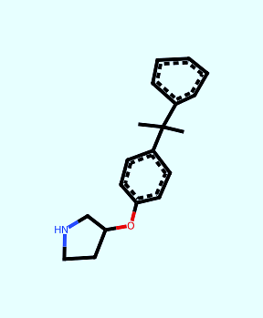 CC(C)(c1ccccc1)c1ccc(OC2CCNC2)cc1